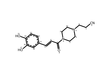 N#CCCN1CCN(C(=O)/C=C/c2ccc(O)c(O)c2)CC1